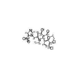 CCOC(=O)c1c(-c2ccc(Cl)c(Cl)c2)n(CC)c(Cn2cncc2[N+](=O)[O-])cc1=O